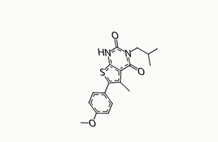 COc1ccc(-c2sc3[nH]c(=O)n(CC(C)C)c(=O)c3c2C)cc1